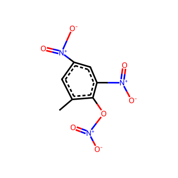 Cc1cc([N+](=O)[O-])cc([N+](=O)[O-])c1O[N+](=O)[O-]